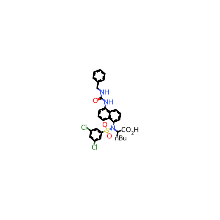 CCCCC(C(=O)O)N(c1cccc2c(NC(=O)NCc3ccccc3)cccc12)S(=O)(=O)c1cc(Cl)cc(Cl)c1